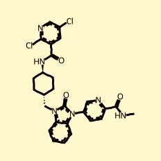 CNC(=O)c1ccc(-n2c(=O)n(C[C@H]3CC[C@H](NC(=O)c4cc(Cl)cnc4Cl)CC3)c3ccccc32)cn1